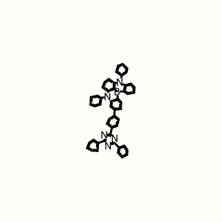 c1ccc(-c2nc(-c3ccccc3)nc(-c3ccc(-c4ccc5c(c4)N(c4ccccc4)c4cccc6c4B5c4ccccc4N6c4ccccc4)cc3)n2)cc1